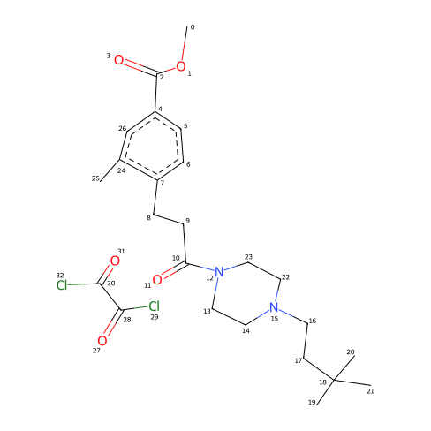 COC(=O)c1ccc(CCC(=O)N2CCN(CCC(C)(C)C)CC2)c(C)c1.O=C(Cl)C(=O)Cl